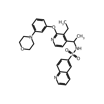 CCc1c(C(C)NS(=O)(=O)c2ccc3ncccc3c2)ccnc1Oc1cccc(N2CCOCC2)c1